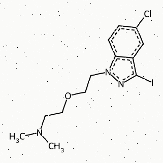 CN(C)CCOCCn1nc(I)c2cc(Cl)ccc21